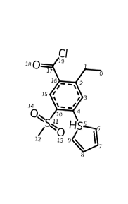 CCc1cc([SH]2C=CC=C2)c(S(C)(=O)=O)cc1C(=O)Cl